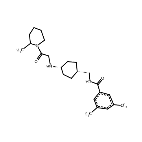 CC1CCCCN1C(=O)CN[C@H]1CC[C@@H](CNC(=O)c2cc(C(F)(F)F)cc(C(F)(F)F)c2)CC1